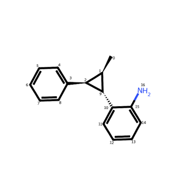 C[C@@H]1[C@H](c2ccccc2)[C@H]1c1ccccc1N